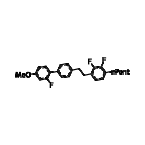 CCCCCc1ccc(CCc2ccc(-c3ccc(OC)cc3F)cc2)c(F)c1F